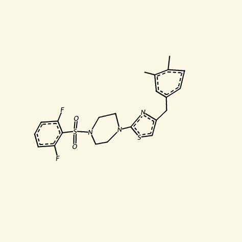 Cc1ccc(Cc2csc(N3CCN(S(=O)(=O)c4c(F)cccc4F)CC3)n2)cc1C